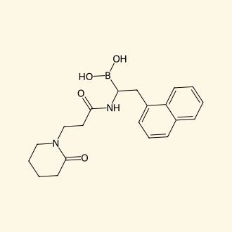 O=C(CCN1CCCCC1=O)NC(Cc1cccc2ccccc12)B(O)O